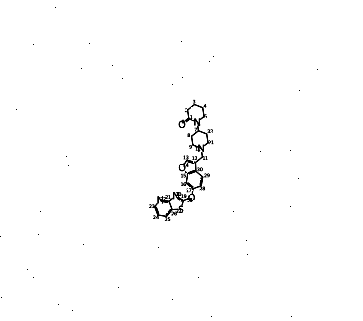 O=C1CCCCN1C1CCN(Cc2coc3cc(Oc4nc5ncccc5s4)ccc23)CC1